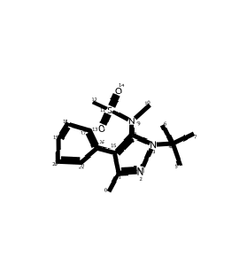 Cc1nn(C(C)(C)C)c(N(C)S(C)(=O)=O)c1-c1ccccc1